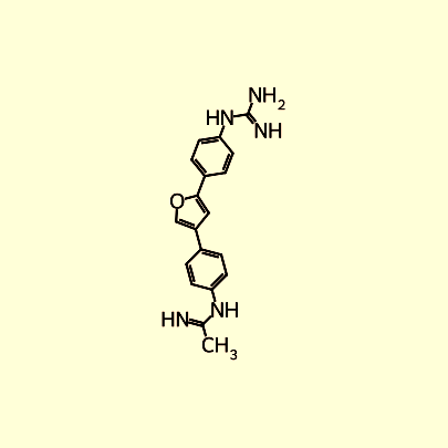 CC(=N)Nc1ccc(-c2coc(-c3ccc(NC(=N)N)cc3)c2)cc1